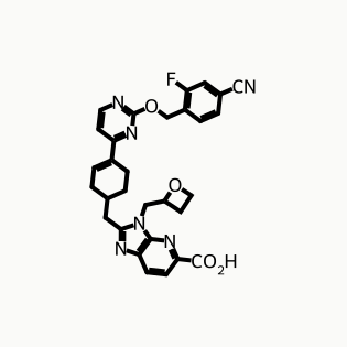 N#Cc1ccc(COc2nccc(C3=CCC(Cc4nc5ccc(C(=O)O)nc5n4CC4CCO4)CC3)n2)c(F)c1